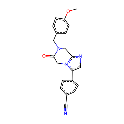 COc1ccc(CN2Cc3ncc(-c4ccc(C#N)cc4)n3CC2=O)cc1